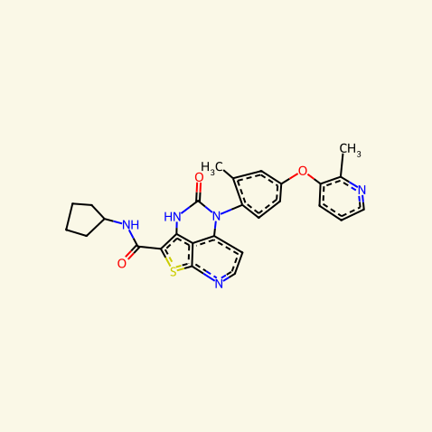 Cc1cc(Oc2cccnc2C)ccc1N1C(=O)Nc2c(C(=O)NC3CCCC3)sc3nccc1c23